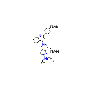 CNCCCN(Cc1ccc(N(C)C)nc1)c1cc(-c2ccc(OC)cc2)nc2ccccc12